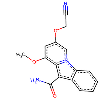 COc1cc(OCC#N)cn2c1c(C(N)=O)c1ccccc12